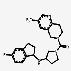 O=C(N1CCc2ncc(C(F)(F)F)cc2C1)N1CCC(NC2CCc3cc(F)ccc32)C1